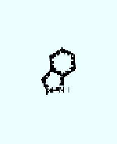 c1ccc2[nH]pcc2c1